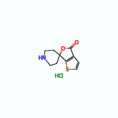 Cl.O=C1OC2(CCNCC2)c2sccc21